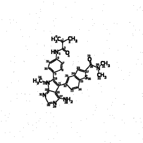 C=C(C)C(=O)Nc1ccc(-c2c(-c3ccc4sc(C(=O)N(C)C)cc4c3)c3c(N)ncnc3n2C)cc1